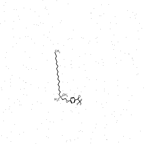 CCCCCCCCCCCCCCCCCC[N+](C)(C)CCOc1ccc(C(=O)C(F)(F)F)cc1